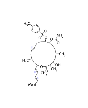 CCCC(C)/C=C/C(C)=C/C1CC(C)C/C=C/CCC(OS(=O)(=O)c2ccc(C)cc2)C(OC(N)=O)CCC(C)CC(O)C(C)C(=O)O1